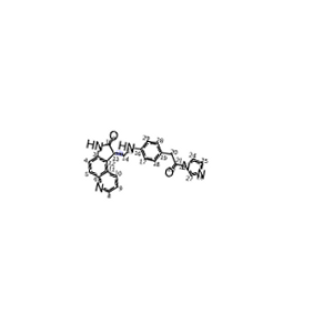 O=C1Nc2ccc3ncccc3c2/C1=C/Nc1ccc(CC(=O)n2ccnc2)cc1